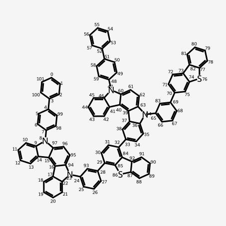 c1ccc(-c2ccc(-n3c4ccccc4c4c5c6ccccc6n(-c6cccc(-c7ccc(-c8ccc9c(c8)c8c%10c%11ccccc%11n(-c%11ccc(-c%12ccccc%12)cc%11)c%10ccc8n9-c8cccc(-c9ccc%10c(c9)sc9ccccc9%10)c8)c8c7sc7ccccc78)c6)c5ccc43)cc2)cc1